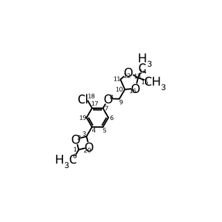 CC1OC(c2ccc(OCC3COC(C)(C)O3)c(Cl)c2)O1